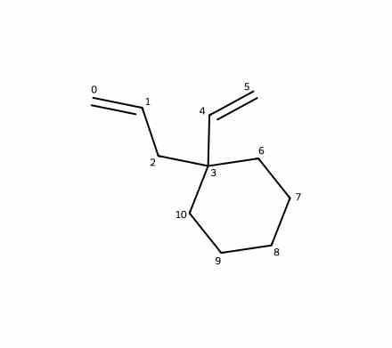 C=CCC1(C=C)CCCCC1